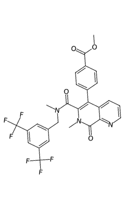 COC(=O)c1ccc(-c2c(C(=O)N(C)Cc3cc(C(F)(F)F)cc(C(F)(F)F)c3)n(C)c(=O)c3ncccc23)cc1